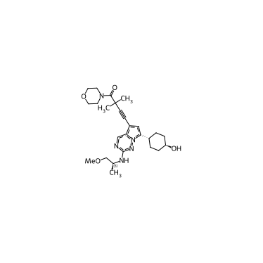 COC[C@H](C)Nc1ncc2c(C#CC(C)(C)C(=O)N3CCOCC3)cc([C@H]3CC[C@H](O)CC3)n2n1